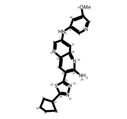 COc1cncc(Nc2cnc3cc(-c4nnc(C5CCCC5)s4)c(N)nc3c2)c1